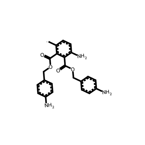 [CH2]c1ccc(N)c(C(=O)OCc2ccc(N)cc2)c1C(=O)OCc1ccc(N)cc1